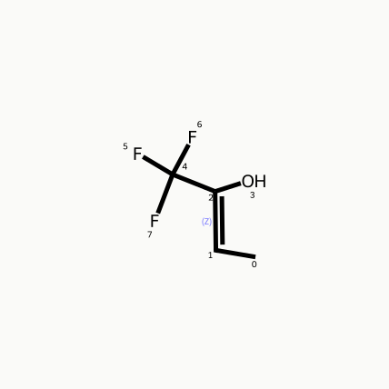 C/C=C(\O)C(F)(F)F